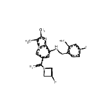 C=C(c1cc(NCc2ccc(F)cc2C)c2nc(C)c(C)n2c1)N1CC(F)C1